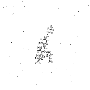 O=C(NS(=O)(=O)C1CC1)c1c(-c2ncc(C3CC3)s2)cc(-c2ccc(OCCCC(F)(F)F)cc2F)[nH]c1=O